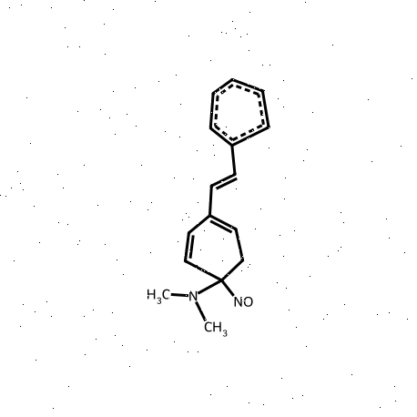 CN(C)C1(N=O)C=CC(C=Cc2ccccc2)=CC1